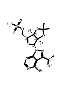 C[C@@H](O)c1nn([C@@H]2O[C@H](COS(N)(=O)=O)[C@H]3OC(C)(C)O[C@H]32)c2ncnc(N)c12